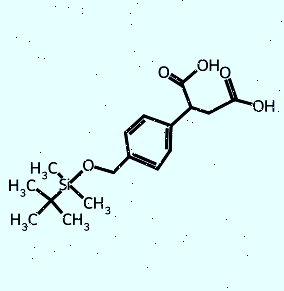 CC(C)(C)[Si](C)(C)OCc1ccc(C(CC(=O)O)C(=O)O)cc1